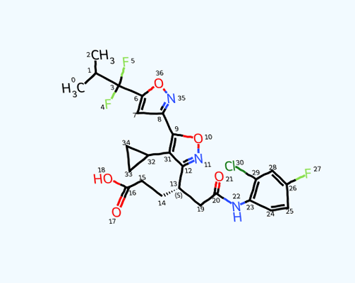 CC(C)C(F)(F)c1cc(-c2onc([C@@H](CCC(=O)O)CC(=O)Nc3ccc(F)cc3Cl)c2C2CC2)no1